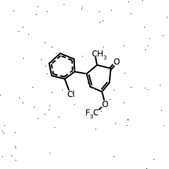 CC1C(=O)C=C(OC(F)(F)F)C=C1c1ccccc1Cl